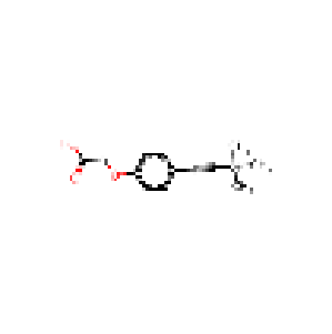 C[Si](C)(C)C#Cc1ccc(OCC(=O)O)cc1